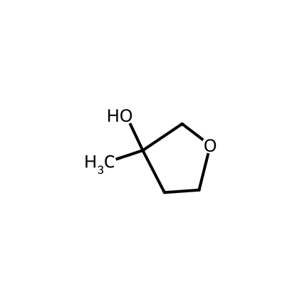 CC1(O)CCOC1